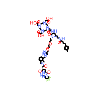 Cc1ccc(CCCC(=O)NCCCCC(NC(=O)CN2CCN(CC(=O)O)CCN(CC(=O)O)CCN(CC(=O)O)CC2)C(=O)NCCCOCCOCc2cn(Cc3cccc4c3CN(C(=O)C[C@@H]3C[C@@H](C(=O)N5CC(F)(F)C[C@H]5C#N)NC3=O)C4)nn2)cc1